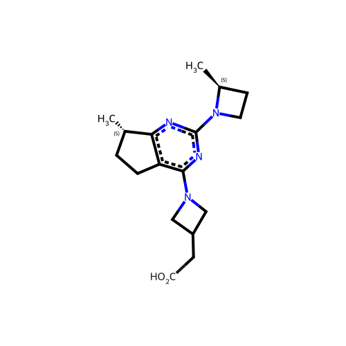 C[C@H]1CCc2c1nc(N1CC[C@@H]1C)nc2N1CC(CC(=O)O)C1